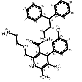 [C-]#[N+]C1=C(C)NC(COCCN)=C(C(=O)NCCC(c2ccccc2)c2ccccc2)C1c1cccc(Cl)c1